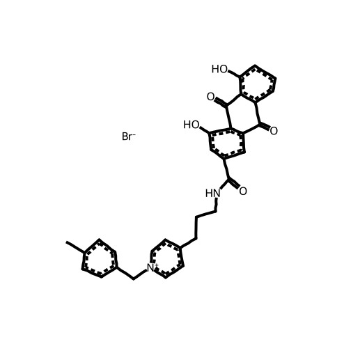 Cc1ccc(C[n+]2ccc(CCCNC(=O)c3cc(O)c4c(c3)C(=O)c3cccc(O)c3C4=O)cc2)cc1.[Br-]